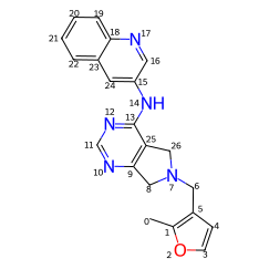 Cc1occc1CN1Cc2ncnc(Nc3cnc4ccccc4c3)c2C1